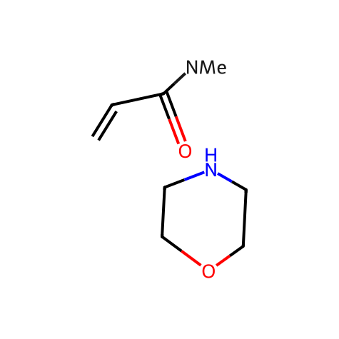 C1COCCN1.C=CC(=O)NC